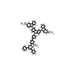 Cc1ccc2c(c1)c1ccccc1n2-c1ccc2c(c1)c1cc(-n3c4ccccc4c4cc(C)ccc43)ccc1n2-c1ccc(-c2ccc(-c3cc(-c4ccccc4)nc(-c4ccccc4)n3)c(C)c2)cc1